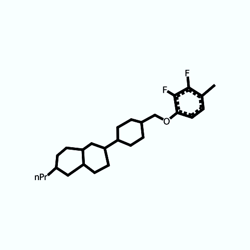 CCCC1CCC2CC(C3CCC(COc4ccc(C)c(F)c4F)CC3)CCC2C1